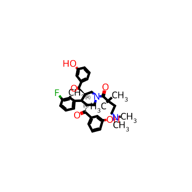 Cc1c(F)cccc1C1[C@@H](C(=O)c2cccc(O)c2)CN(C(=O)C(C)(C)CCN(C)C)C[C@@H]1C(=O)c1cccc(O)c1